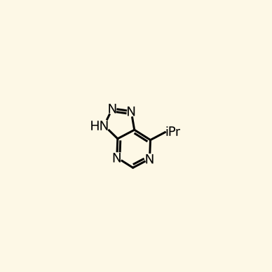 CC(C)c1ncnc2[nH]nnc12